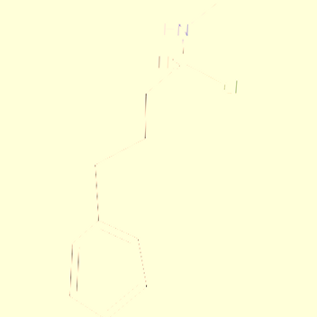 CN[SiH](Cl)CCCc1ccccc1